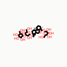 C=C1C[C@@]23CCC4[C@](C)(C(=O)OC5OC(CO)C(O)C(O)C5O)CCC[C@@]4(C)[C@@H]2CCC1(OC1OC(CO)C(O)C(OC2CC(CO)C(O)C(O)C2O)C1O)C3